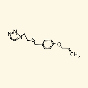 C=CCOc1ccc(CSCCn2ccnn2)cc1